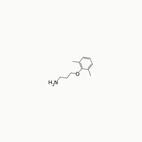 Cc1cccc(C)c1OCCCN